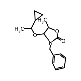 CC(OC1C(C)OC(=O)N1Cc1ccccc1)C1CC1